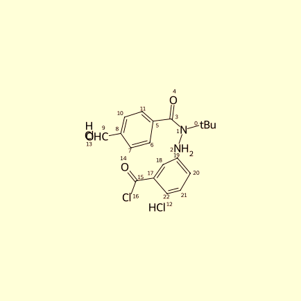 CC(C)(C)N(N)C(=O)c1ccc(C=O)cc1.Cl.Cl.O=C(Cl)c1ccccc1